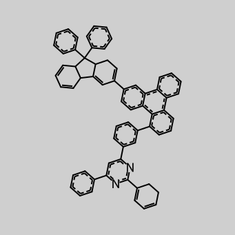 C1=CCCC(c2nc(-c3ccccc3)cc(-c3cccc(-c4cccc5c6ccccc6c6cc(C7=CCC8C(=C7)C7C=CC=CC7C8(c7ccccc7)c7ccccc7)ccc6c45)c3)n2)=C1